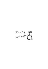 C[C@H]1CC(c2ccncc2N=O)=C[C@H](O)[C@@H]1O